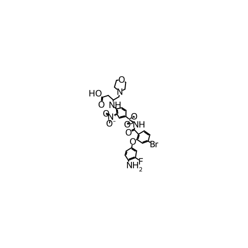 Nc1ccc(Oc2cc(Br)ccc2C(=O)NS(=O)(=O)c2ccc(NC(CC(=O)O)CN3CCOCC3)c([N+](=O)[O-])c2)cc1F